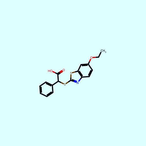 CCOc1ccc2nc(SC(C(=O)O)c3ccccc3)sc2c1